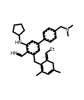 CC/C=C1\CC(C)=CC(C)=C1Cc1cc(-c2ccc(CN(C)C)cc2)cc(NC2CCCC2)c1C=N